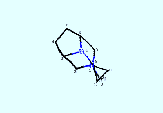 CC(C)N1CC2CCC(C1)N2C1CC1